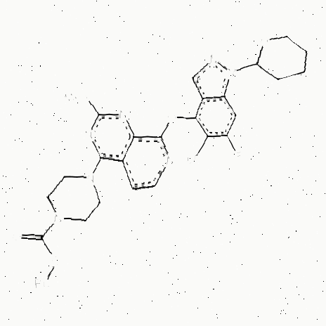 CSc1nc(N2CCN(C(=O)OC(C)(C)C)CC2)c2ccnc(Oc3c(Cl)c(F)cc4c3cnn4C3CCCCO3)c2n1